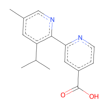 Cc1cnc(-c2cc(C(=O)O)ccn2)c(C(C)C)c1